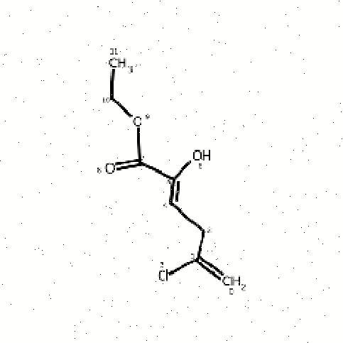 C=C(Cl)CC=C(O)C(=O)OCC